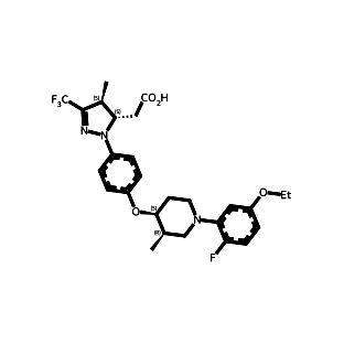 CCOc1ccc(F)c(N2CC[C@H](Oc3ccc(N4N=C(C(F)(F)F)[C@@H](C)[C@@H]4CC(=O)O)cc3)[C@H](C)C2)c1